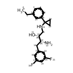 CCc1cccc(C2(NC[C@@H](O)[C@H](N)Cc3cc(F)cc(F)c3)CC2)c1